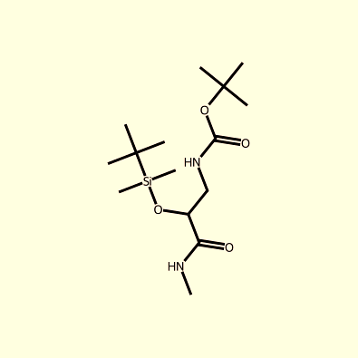 CNC(=O)C(CNC(=O)OC(C)(C)C)O[Si](C)(C)C(C)(C)C